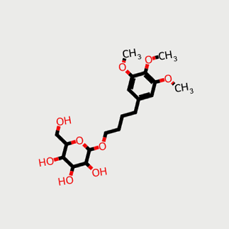 COc1cc(CCCCOC2OC(CO)C(O)C(O)C2O)cc(OC)c1OC